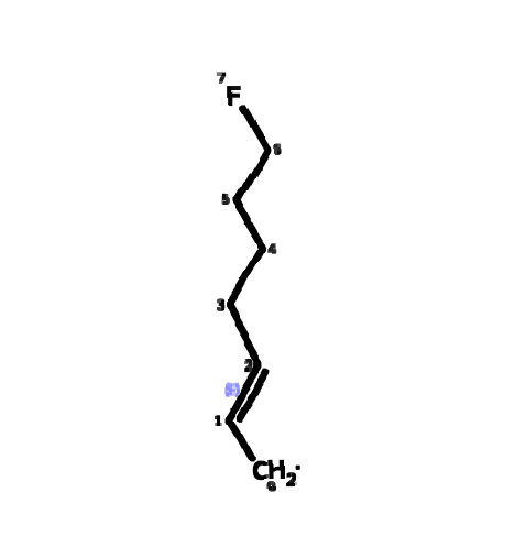 [CH2]/C=C/CCCCF